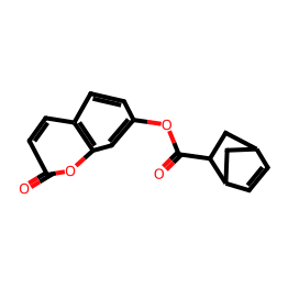 O=C(Oc1ccc2ccc(=O)oc2c1)C1CC2C=CC1C2